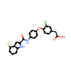 O=C(O)Cc1ccc(Oc2ccc(NC(=O)c3cc4c(F)cccc4[nH]3)cc2)c(Cl)c1